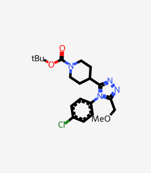 COCc1nnc(C2CCN(C(=O)OC(C)(C)C)CC2)n1-c1ccc(Cl)cc1